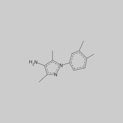 Cc1ccc(-n2nc(C)c(N)c2C)cc1C